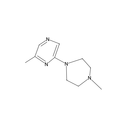 Cc1cncc(N2CCN(C)CC2)n1